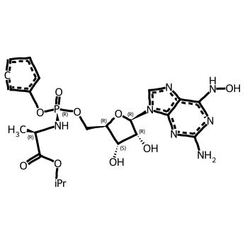 CC(C)OC(=O)[C@@H](C)N[P@@](=O)(OC[C@H]1O[C@@H](n2cnc3c(NO)nc(N)nc32)[C@H](O)[C@@H]1O)Oc1ccccc1